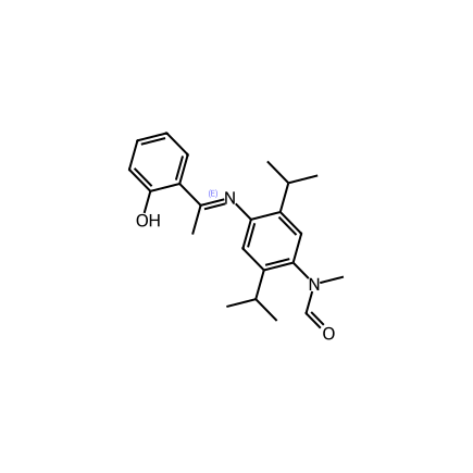 C/C(=N\c1cc(C(C)C)c(N(C)C=O)cc1C(C)C)c1ccccc1O